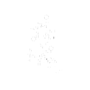 CC(C)C[C@H](NC(=O)CNC(=O)[C@H](Cc1ccccc1)N(C)C(=O)[C@H](C)NC(=O)[C@@H](N)Cc1ccccc1)C(=O)N[C@@H](C)C(=O)C[C@H](C(=O)N[C@@H](Cc1ccccc1)C(=O)N[C@@H](CC(=O)O/N=C(\C#N)C(=O)OC[C@@H]1COC(C)(C)O1)C(=O)N(C)[C@@H](C)C(=O)N[C@@H](CO)C(=O)NCC(N)=O)C(C)C